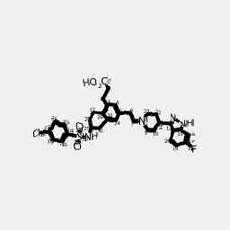 O=C(O)CCc1cc(CCN2CCC(c3n[nH]c4cc(F)ccc34)CC2)cc2c1CCC(NS(=O)(=O)c1ccc(Cl)cc1)C2